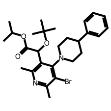 Cc1nc(C)c(C(OC(C)(C)C)C(=O)OC(C)C)c(N2CCC(c3ccccc3)CC2)c1Br